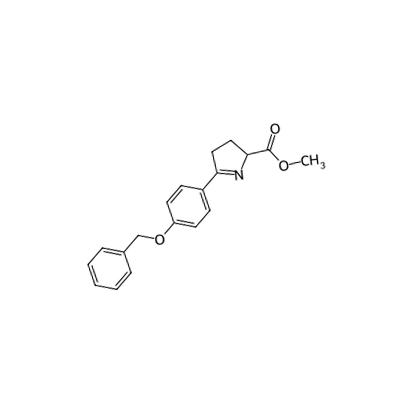 COC(=O)C1CCC(c2ccc(OCc3ccccc3)cc2)=N1